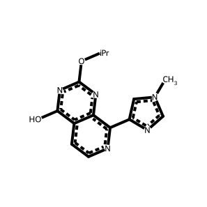 CC(C)Oc1nc(O)c2ccnc(-c3cn(C)cn3)c2n1